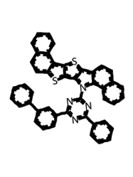 c1ccc(-c2cccc(-c3nc(-c4ccccc4)nc(-n4c5c6ccccc6ccc5c5sc6c(sc7ccc8ccccc8c76)c54)n3)c2)cc1